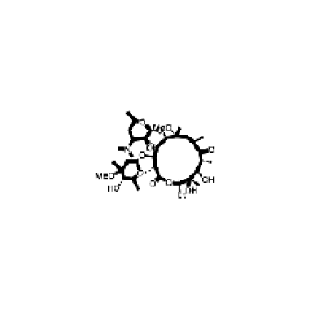 CC[C@H]1OC(=O)[C@H](C)[C@@H](O[C@H]2CC(C)(OC)[C@@H](O)C(C)O2)[C@H](C)[C@@H](O[C@@H]2OC(C)CC(N(C)C)C2O)[C@](C)(OC)C[C@@H](C)C(=O)[C@H](C)[C@@H](O)[C@]1(C)O